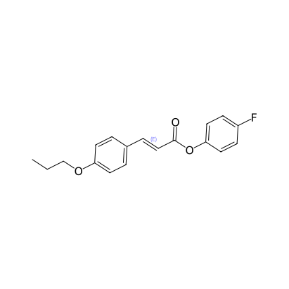 CCCOc1ccc(/C=C/C(=O)Oc2ccc(F)cc2)cc1